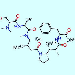 CC[C@H](C)[C@@H]([C@@H](CC(=O)N1CCC[C@H]1[C@H](OC)[C@@H](C)C(=O)N[C@@H](Cc1ccccc1)C(=O)OC)OC)N(C)C(=O)[C@@H](NC(=O)[C@H](CO)N(C)C)C(C)C